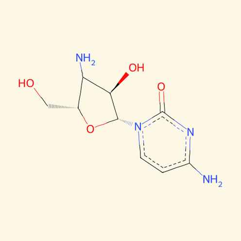 Nc1ccn([C@@H]2O[C@H](CO)C(N)[C@H]2O)c(=O)n1